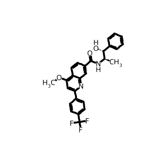 COc1cc(-c2ccc(C(F)(F)F)cc2)nc2cc(C(=O)N[C@H](C)[C@H](O)c3ccccc3)ccc12